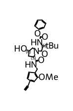 C#Cc1ccc(CNC(=O)[C@@H]2C[C@@H](O)CN2C(=O)[C@@H](NC(=O)Oc2ccccc2)C(C)(C)C)c(OC)c1